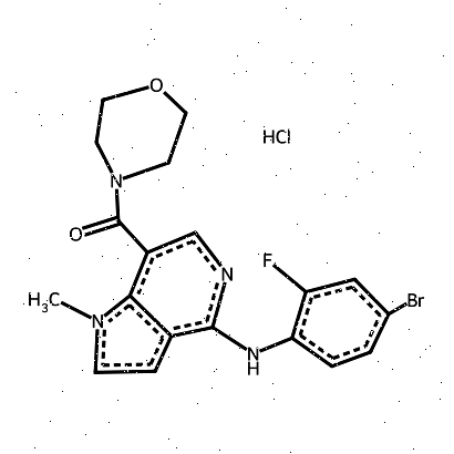 Cl.Cn1ccc2c(Nc3ccc(Br)cc3F)ncc(C(=O)N3CCOCC3)c21